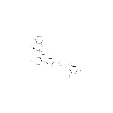 Cc1cc(Cl)c(OCCOc2ccc(C3=C(C(=O)N(Cc4cccc(C)c4C)C4CC4)CNCC3)cc2)c(Cl)c1